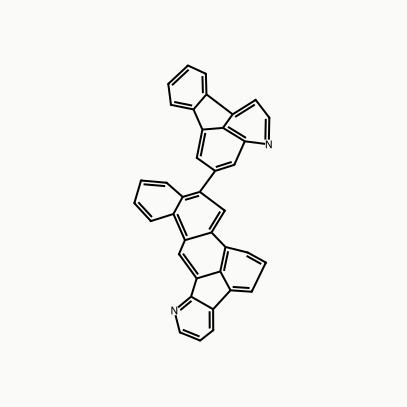 c1ccc2c(c1)-c1ccnc3cc(-c4cc5c6cccc7c6c(cc5c5ccccc45)-c4ncccc4-7)cc-2c13